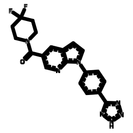 O=C(c1cnc2c(ccn2-c2ccc(-c3nn[nH]n3)cc2)c1)N1CCC(F)(F)CC1